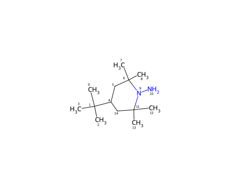 CC(C)(C)C1CC(C)(C)N(N)C(C)(C)C1